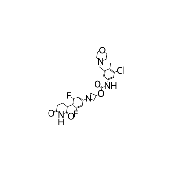 Cc1c(Cl)cc(NC(=O)OC2CN(c3cc(F)c(C4CCC(=O)NC4=O)c(F)c3)C2)cc1CN1CCOCC1